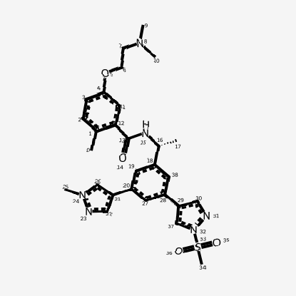 Cc1ccc(OCCN(C)C)cc1C(=O)N[C@H](C)c1cc(-c2cnn(C)c2)cc(-c2cnn(S(C)(=O)=O)c2)c1